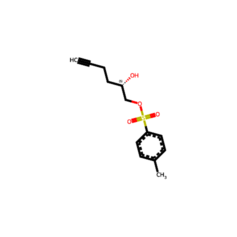 C#CCC[C@H](O)COS(=O)(=O)c1ccc(C)cc1